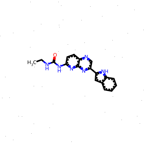 CCNC(=O)Nc1ccc2ncc(-c3cc4ccccc4[nH]3)nc2n1